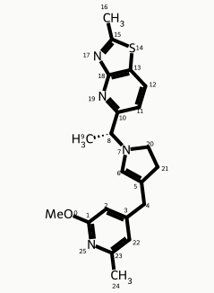 COc1cc(CC2=CN([C@H](C)c3ccc4sc(C)nc4n3)CC2)cc(C)n1